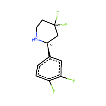 Fc1ccc([C@@H]2CC(F)(F)CCN2)cc1F